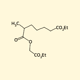 CCOC(=O)CCCCC(C)C(=O)OCC(=O)OCC